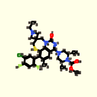 C[C@@H]1CN(c2nc(=O)n3c4c(c(-c5cc(Cl)c(F)cc5F)c(C(F)(F)F)cc24)SCC2(CN(CC(F)(F)F)C2)C3)C[C@H](C)N1C(=O)OC(C)(C)C